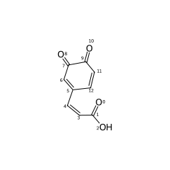 O=C(O)/C=C\C1=CC(=O)C(=O)C=C1